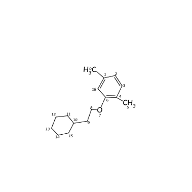 Cc1ccc(C)c(OCCC2CCCCC2)c1